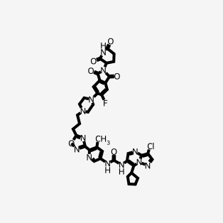 Cc1cc(NC(=O)Nc2cnc3c(Cl)cnn3c2C2CCCC2)cnc1-c1noc(CCCN2CCN(c3cc4c(cc3F)C(=O)N(C3CCC(=O)NC3=O)C4=O)CC2)n1